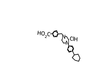 Cl.O=C(O)c1ccc(CN2CCN(c3ccc(C4CCCCC4)cc3)CC2)cc1